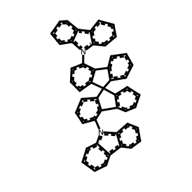 c1ccc2c(c1)-c1c(-n3c4ccccc4c4ccccc43)cccc1C21c2ccccc2-c2c(-n3c4ccccc4c4ccccc43)cccc21